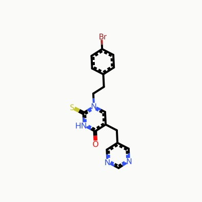 O=c1[nH]c(=S)n(CCc2ccc(Br)cc2)cc1Cc1cncnc1